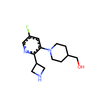 OCC1CCN(c2cc(F)cnc2C2CNC2)CC1